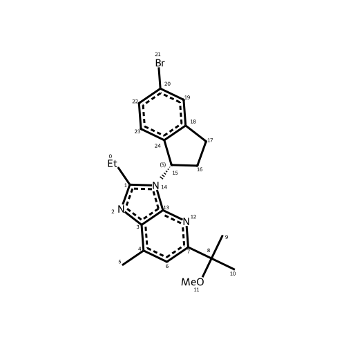 CCc1nc2c(C)cc(C(C)(C)OC)nc2n1[C@H]1CCc2cc(Br)ccc21